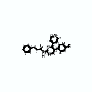 O=C(CCc1ccccc1)Nc1ncc(-c2ccc(F)cc2)c(-c2ccncc2)n1